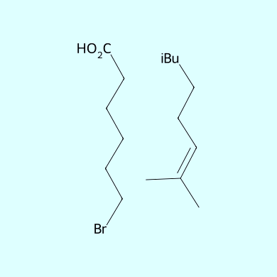 CCC(C)CCC=C(C)C.O=C(O)CCCCCBr